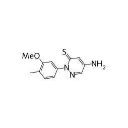 COc1cc(-n2ncc(N)cc2=S)ccc1C